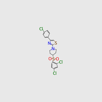 O=S(=O)(c1ccc(Cl)cc1Cl)C1CCN(c2nc(-c3ccc(Cl)cc3)cs2)CC1